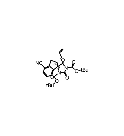 C=CC[C@H]1Cc2c(C#N)cccc2[C@@]12C(=O)N(C(=O)OC(C)(C)C)C(=O)N2C(=O)OC(C)(C)C